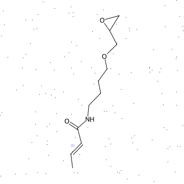 C/C=C/C(=O)NCCCCOCC1CO1